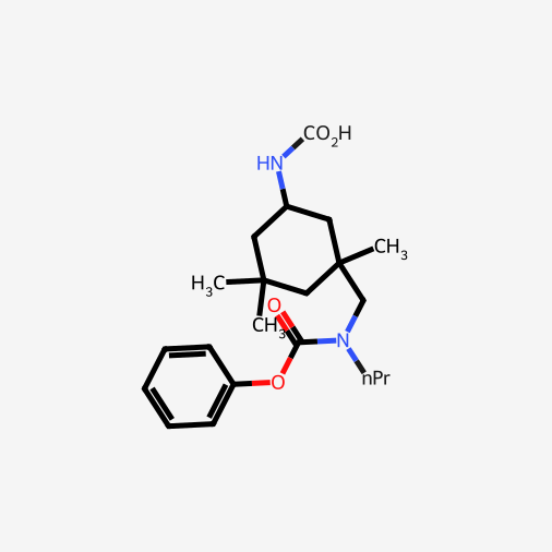 CCCN(CC1(C)CC(NC(=O)O)CC(C)(C)C1)C(=O)Oc1ccccc1